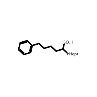 CCCCCCCC(CCCCc1ccccc1)S(=O)(=O)O